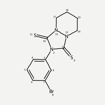 S=c1n(-c2cccc(Br)c2)c(=S)n2n1CCCC2